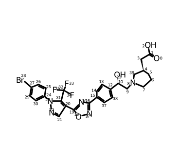 O=C(O)C[C@H]1CCCN(C[C@@H](O)c2ccc(-c3noc(-c4cnn(-c5ccc(Br)cc5)c4C(F)(F)F)n3)cc2)C1